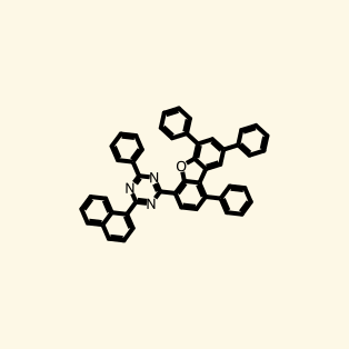 c1ccc(-c2cc(-c3ccccc3)c3oc4c(-c5nc(-c6ccccc6)nc(-c6cccc7ccccc67)n5)ccc(-c5ccccc5)c4c3c2)cc1